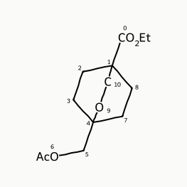 CCOC(=O)C12CCC(COC(C)=O)(CC1)OC2